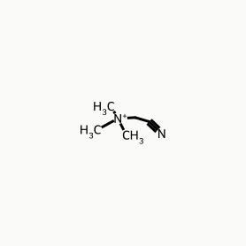 C[N+](C)(C)CC#N